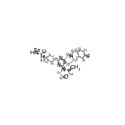 CCNC(=O)Nc1ccc(-c2nc3c(c(N4CCOC[C@@H]4C)n2)CCN(Cc2ccc(F)cc2)C3)cc1